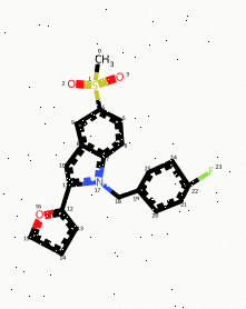 CS(=O)(=O)c1ccc2c(c1)cc(-c1ccco1)n2Cc1ccc(F)cc1